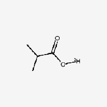 [2H]OC(=O)C(C)C